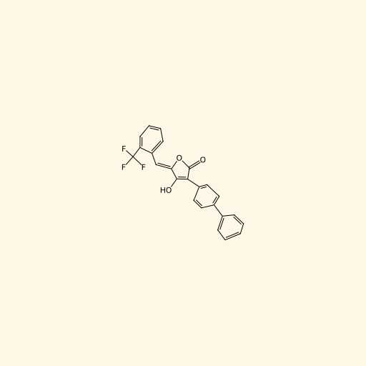 O=C1OC(=Cc2ccccc2C(F)(F)F)C(O)=C1c1ccc(-c2ccccc2)cc1